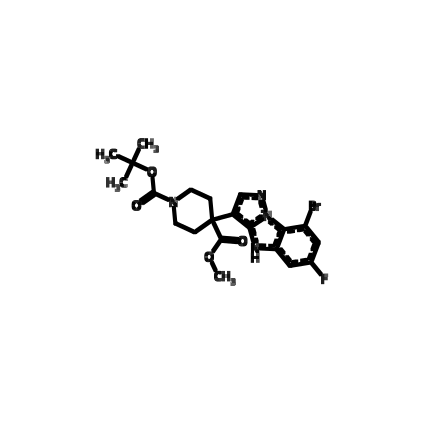 COC(=O)C1(c2cnn3c2[nH]c2cc(F)cc(Br)c23)CCN(C(=O)OC(C)(C)C)CC1